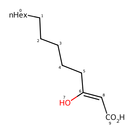 CCCCCCCCCCC/C(O)=C/C(=O)O